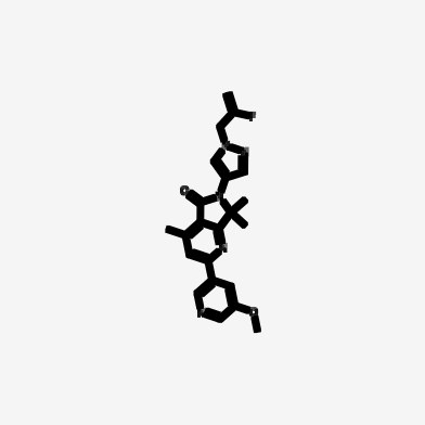 C=C(F)Cn1cc(N2C(=O)c3c(C)cc(-c4cncc(OC)c4)nc3C2(C)C)cn1